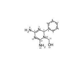 NC1=NC(c2ccccc2)N(CO)C(N)=N1